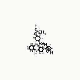 Cc1c(N2C[C@H]3CC[C@@H]2CO3)ccc2c1N(C(=O)[C@H]1CC[C@H](OC(C)C)CC1)Cc1cccnc1N2